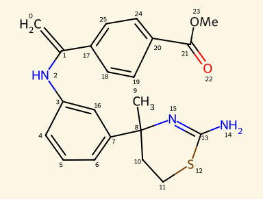 C=C(Nc1cccc(C2(C)CCSC(N)=N2)c1)c1ccc(C(=O)OC)cc1